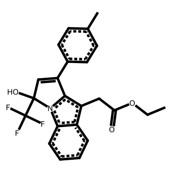 CCOC(=O)Cc1c2n(c3ccccc13)C(O)(C(F)(F)F)C=C2c1ccc(C)cc1